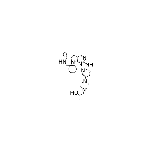 C[C@H](O)CN1CCN(c2ccc(Nc3ncc4c(n3)N3C(C4)C(=O)NCC34CCCCC4)nc2)CC1